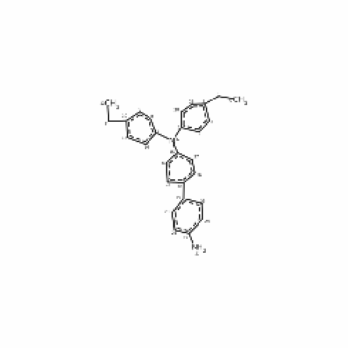 CCc1ccc(N(c2ccc(CC)cc2)c2ccc(-c3ccc(N)cc3)cc2)cc1